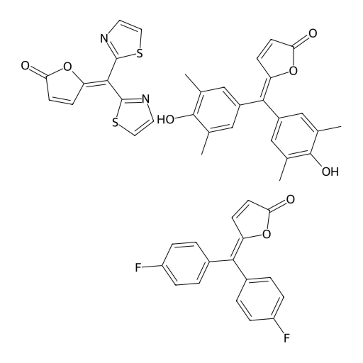 Cc1cc(C(=C2C=CC(=O)O2)c2cc(C)c(O)c(C)c2)cc(C)c1O.O=C1C=CC(=C(c2ccc(F)cc2)c2ccc(F)cc2)O1.O=C1C=CC(=C(c2nccs2)c2nccs2)O1